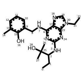 CCC(Nc1nc(NCc2cccc(C)c2O)c2ncn(CC)c2n1)C(C)(C)O